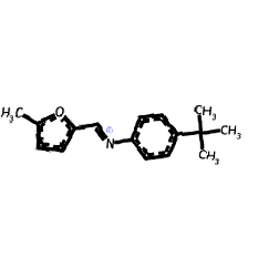 Cc1ccc(/C=N/c2ccc(C(C)(C)C)cc2)o1